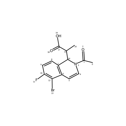 CC(=O)N1C=Cc2c(ccc(F)c2Br)C1C(C)C(=O)O